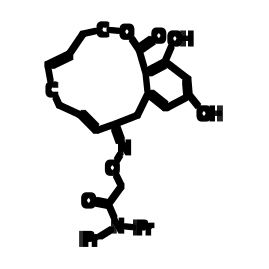 CC(C)N(C(=O)CON=C1/C=C/CC/C=C/CCOC(=O)c2c(O)cc(O)cc2C1)C(C)C